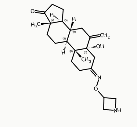 C=C1C[C@H]2[C@@H]3CCC(=O)[C@@]3(C)CC[C@@H]2[C@@]2(C)CCC(=NOC3CNC3)C[C@]12O